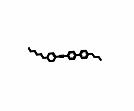 CCCCCCC1CC=C(C#Cc2ccc(-c3ccc(CCCC)cc3)cc2)CC1